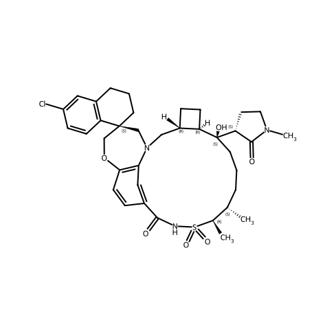 C[C@@H]1[C@@H](C)CCC[C@@](O)([C@@H]2CCN(C)C2=O)[C@@H]2CC[C@H]2CN2C[C@@]3(CCCc4cc(Cl)ccc43)COc3ccc(cc32)C(=O)NS1(=O)=O